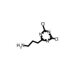 NCCCc1nc(Cl)nc(Cl)n1